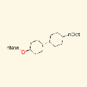 CCCCCCCCCO[C@H]1CC[C@H](C2CCC(CCCCCCCC)CC2)CC1